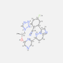 C[C@@H](Cn1cnnn1)Oc1cncc(-c2ccc3ncc(-c4cc(F)ccc4C#N)n3n2)n1